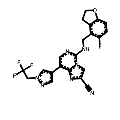 N#Cc1cn2c(NCc3c(F)ccc4c3CCO4)ncc(-c3cnn(CC(F)(F)F)c3)c2n1